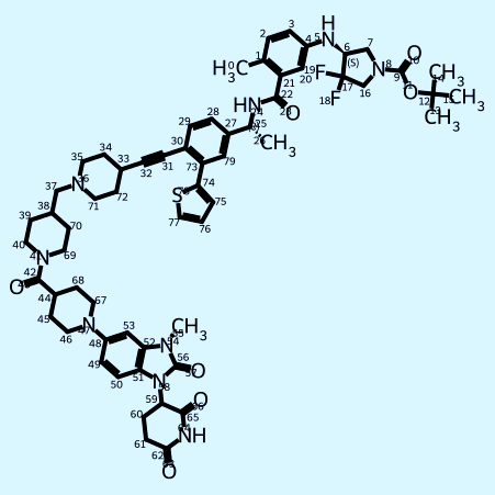 Cc1ccc(N[C@H]2CN(C(=O)OC(C)(C)C)CC2(F)F)cc1C(=O)N[C@H](C)c1ccc(C#CC2CCN(CC3CCN(C(=O)C4CCN(c5ccc6c(c5)n(C)c(=O)n6C5CCC(=O)NC5=O)CC4)CC3)CC2)c(-c2cccs2)c1